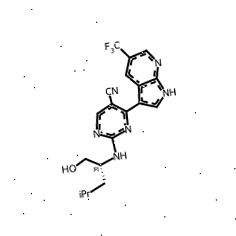 CC(C)C[C@H](CO)Nc1ncc(C#N)c(-c2c[nH]c3ncc(C(F)(F)F)cc23)n1